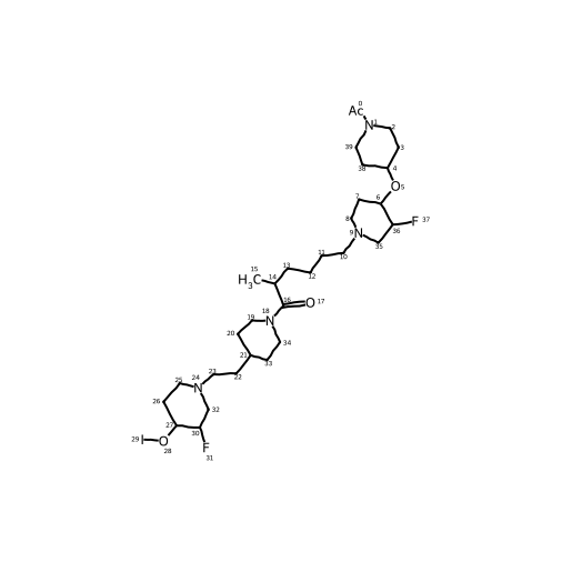 CC(=O)N1CCC(OC2CCN(CCCCC(C)C(=O)N3CCC(CCN4CCC(OI)C(F)C4)CC3)CC2F)CC1